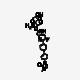 CN1CCN(c2ccc(-c3ccc(-c4nc5cc(O[C@@H]6CO[C@@H]7[C@H](O)CO[C@@]76N)[nH]c5cc4F)cc3)cc2)C1=O